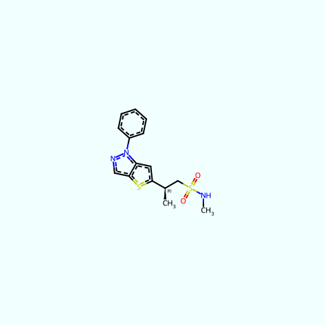 CNS(=O)(=O)C[C@@H](C)c1cc2c(cnn2-c2ccccc2)s1